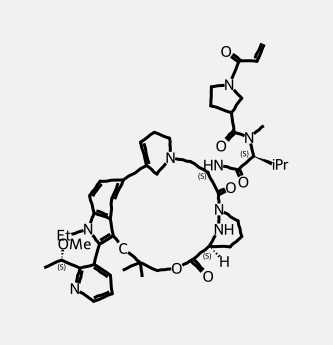 C=CC(=O)N1CCC(C(=O)N(C)[C@H](C(=O)N[C@H]2CN3CCC=C(C3)c3ccc4c(c3)c(c(-c3cccnc3[C@H](C)OC)n4CC)CC(C)(C)COC(=O)[C@@H]3CCCN(N3)C2=O)C(C)C)C1